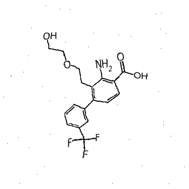 Nc1c(C(=O)O)ccc(-c2cccc(C(F)(F)F)c2)c1CCOCCO